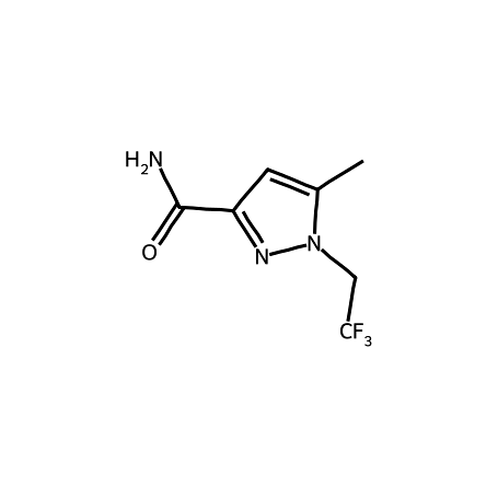 Cc1cc(C(N)=O)nn1CC(F)(F)F